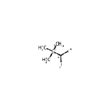 C[Si](C)(C)C(I)I